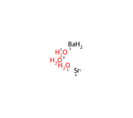 O.O.O.[BaH2].[Sr]